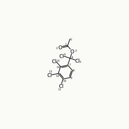 CC(=O)OC(Cl)(Cl)c1ccc(Cl)c(Cl)c1Cl